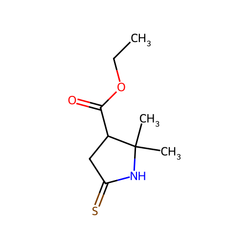 CCOC(=O)C1CC(=S)NC1(C)C